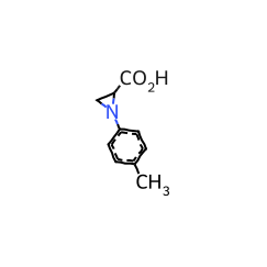 Cc1ccc(N2CC2C(=O)O)cc1